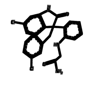 NC(=O)CNc1ccccc1C1(Cc2cccc(Cl)c2)C(=O)Nc2cc(Cl)ccc21